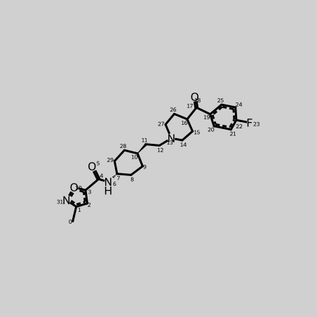 Cc1cc(C(=O)N[C@H]2CC[C@H](CCN3CCC(C(=O)c4ccc(F)cc4)CC3)CC2)on1